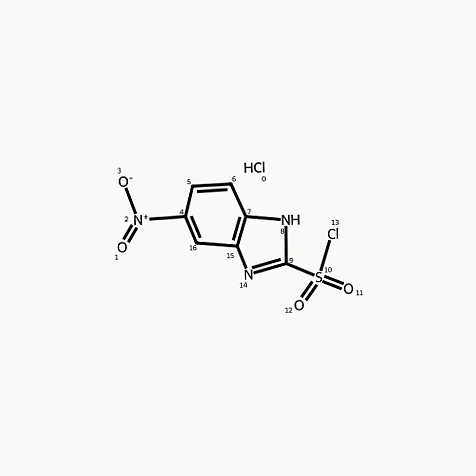 Cl.O=[N+]([O-])c1ccc2[nH]c(S(=O)(=O)Cl)nc2c1